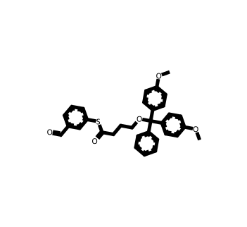 COc1ccc(C(OCCCC(=O)Sc2cccc([C]=O)c2)(c2ccccc2)c2ccc(OC)cc2)cc1